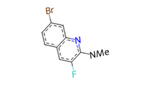 CNc1nc2cc(Br)ccc2cc1F